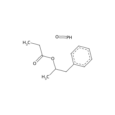 CCC(=O)OC(C)Cc1ccccc1.O=P